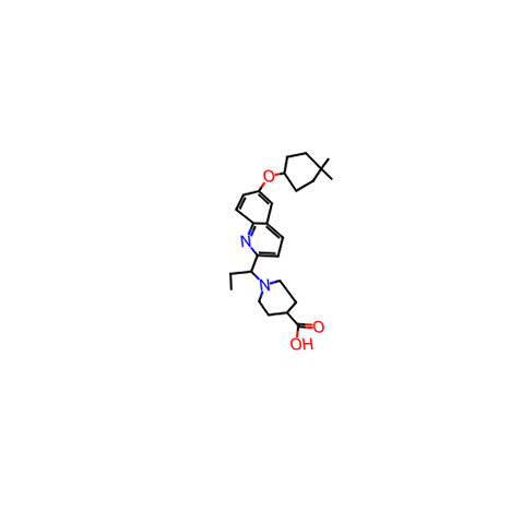 CCC(c1ccc2cc(OC3CCC(C)(C)CC3)ccc2n1)N1CCC(C(=O)O)CC1